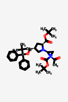 CC(=O)[N@+]1(C(=O)OC(C)(C)C)C[C@@H]1N1C[C@H](CO[Si](c2ccccc2)(c2ccccc2)C(C)(C)C)C[C@@H]1C(=O)OC(C)(C)C